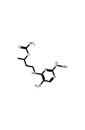 CC(CCNc1nc(NC(C)(C)C)ncc1N)OC(N)=O